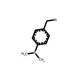 CN(C)c1ccc(C[N])cc1